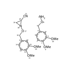 COc1ccc(CON)cc1OC.COc1ccc(CON2CC2C#N)cc1OC